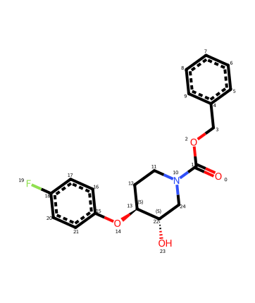 O=C(OCc1ccccc1)N1CC[C@H](Oc2ccc(F)cc2)[C@@H](O)C1